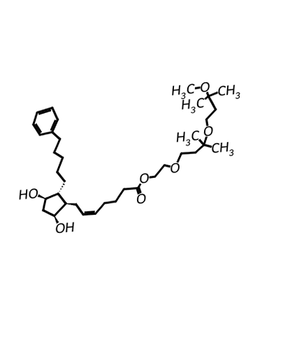 COC(C)(C)CCOC(C)(C)CCOCCOC(=O)CCC/C=C\C[C@@H]1[C@@H](CCCCCc2ccccc2)[C@H](O)C[C@@H]1O